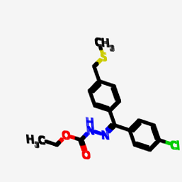 CCOC(=O)NN=C(c1ccc(Cl)cc1)c1ccc(CSC)cc1